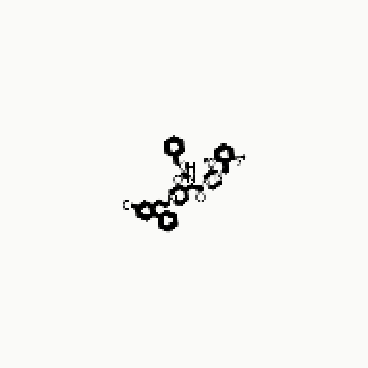 COc1cccc(SC)c1CN1CCN(C(=O)[C@H](NC(=O)OCc2ccccc2)C2CCN(CCc3cc(Cl)ccc3-c3ccccc3)CC2)CC1